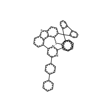 c1ccc(-c2ccc(-c3cc(-c4cccc5sc6ccc7c(c6c45)Sc4ccccc4C74c5ccccc5-c5ccccc54)nc(-c4ccccc4)n3)cc2)cc1